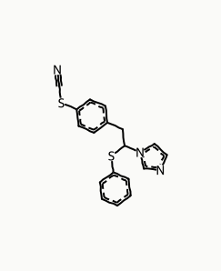 N#CSc1ccc(CC(Sc2ccccc2)n2ccnc2)cc1